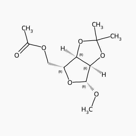 CO[C@@H]1O[C@H](COC(C)=O)[C@H]2OC(C)(C)O[C@@H]12